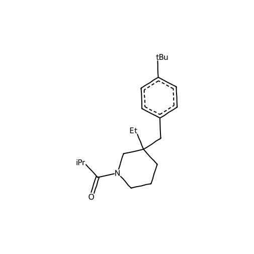 CCC1(Cc2ccc(C(C)(C)C)cc2)CCCN(C(=O)C(C)C)C1